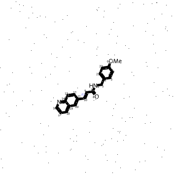 COc1ccc(CNC(=O)/C=C/c2ccc3ncccc3c2)cc1